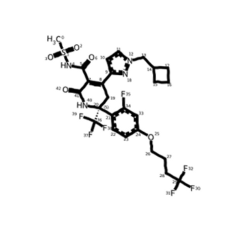 CS(=O)(=O)NC(=O)C1=C(c2ccn(CC3CCC3)n2)C[C@](c2ccc(OCCCC(F)(F)F)cc2F)(C(F)(F)F)NC1=O